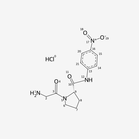 Cl.NCC(=O)N1CCC[C@H]1C(=O)Nc1ccc([N+](=O)[O-])cc1